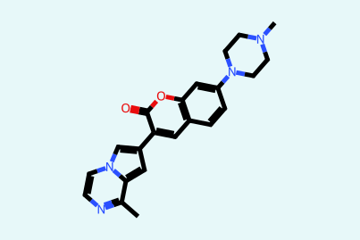 Cc1nccn2cc(-c3cc4ccc(N5CCN(C)CC5)cc4oc3=O)cc12